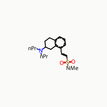 CCCN(CCC)C1CCc2cccc(/C=C/S(=O)(=O)NC)c2C1